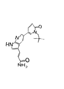 CC(C)(C)Cn1cc(-c2cnc3[nH]cc(C=CC(N)=O)c3c2)ccc1=O